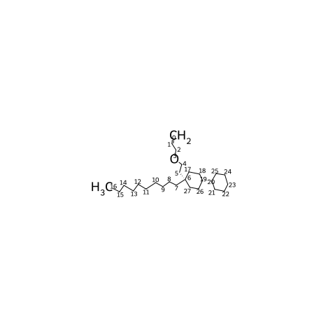 C=CCOCC[C@]1(CCCCCCCCCC)CC[C@H](C2CCCCC2)CC1